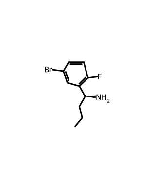 CCC[C@H](N)c1cc(Br)ccc1F